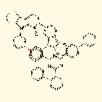 c1ccc(-c2ccc(-c3nc(-c4ccccc4-c4ccccc4)nc(-c4ccccc4-n4c5ccccc5c5ccc6c7ccc8c9ccccc9n(-c9cccc(-c%10ccccc%10)c9)c8c7oc6c54)n3)cc2)cc1